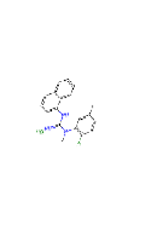 Cc1ccc(Cl)c(N(C)C(=N)Nc2cccc3ccccc23)c1.Cl